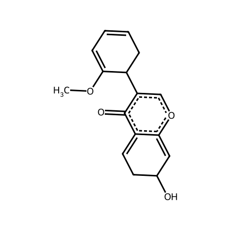 COC1=CC=CCC1c1coc2c(c1=O)=CCC(O)C=2